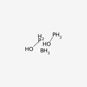 B.OP.OP